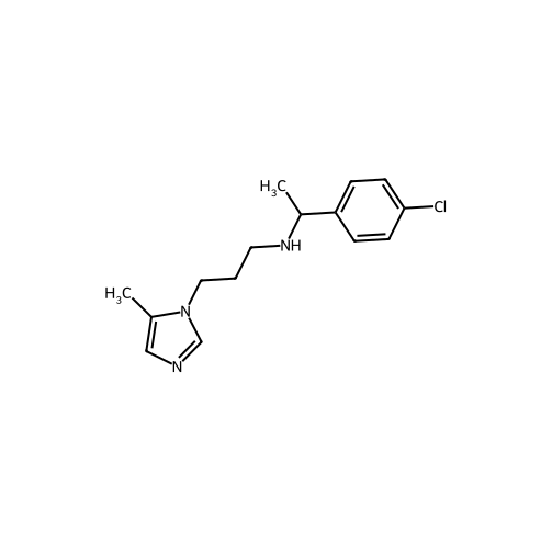 Cc1cncn1CCCNC(C)c1ccc(Cl)cc1